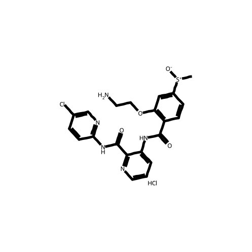 C[S+]([O-])c1ccc(C(=O)Nc2cccnc2C(=O)Nc2ccc(Cl)cn2)c(OCCN)c1.Cl